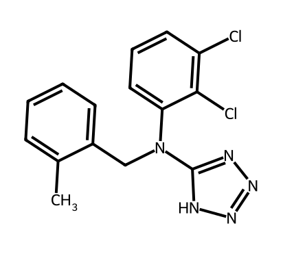 Cc1ccccc1CN(c1nnn[nH]1)c1cccc(Cl)c1Cl